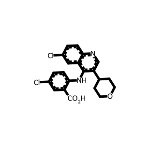 O=C(O)c1cc(Cl)ccc1Nc1c(C2CCOCC2)cnc2ccc(Cl)cc12